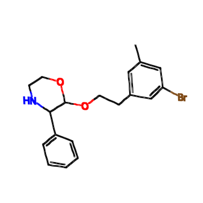 Cc1cc(Br)cc(CCOC2OCCNC2c2ccccc2)c1